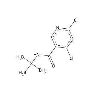 BC(B)(B)NC(=O)c1cnc(Cl)cc1Cl